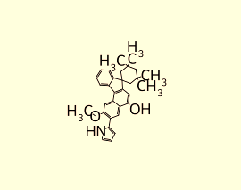 COc1cc2c3c(cc(O)c2cc1-c1ccc[nH]1)C1(CC(C)(C)CC(C)(C)C1)c1ccccc1-3